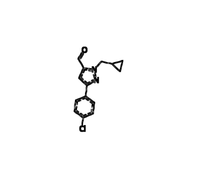 O=Cc1cc(-c2ccc(Cl)cc2)nn1CC1CC1